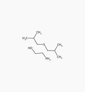 CC(C)CSCC(C)C.OCCP